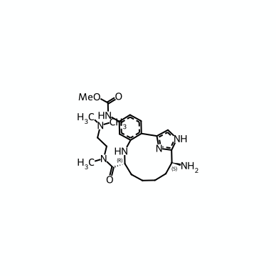 COC(=O)Nc1ccc2c(c1)N[C@@H](C(=O)N(C)CCN(C)C)CCCC[C@H](N)c1nc-2c[nH]1